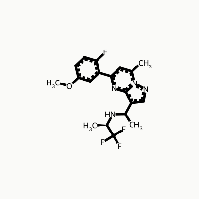 COc1ccc(F)c(-c2cc(C)n3ncc(C(C)N[C@H](C)C(F)(F)F)c3n2)c1